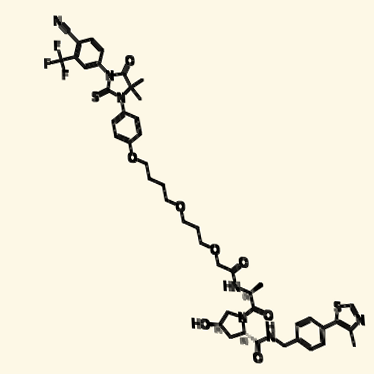 Cc1ncsc1-c1ccc(CNC(=O)[C@@H]2C[C@@H](O)CN2C(=O)[C@H](C)NC(=O)COCCCOCCCCOc2ccc(N3C(=S)N(c4ccc(C#N)c(C(F)(F)F)c4)C(=O)C3(C)C)cc2)cc1